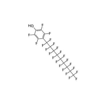 Oc1c(F)c(F)c(C(F)(F)C(F)(F)C(F)(F)C(F)(F)C(F)(F)C(F)(F)C(F)(F)C(F)(F)C(F)(F)F)c(F)c1F